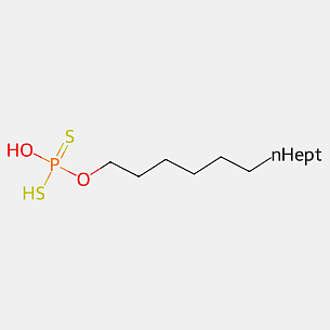 CCCCCCCCCCCCCOP(O)(=S)S